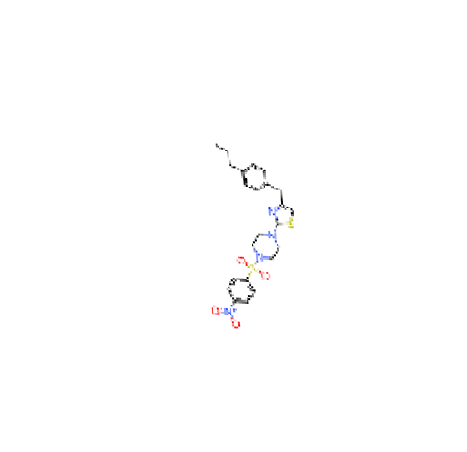 CCCc1ccc(Cc2csc(N3CCN(S(=O)(=O)c4ccc([N+](=O)[O-])cc4)CC3)n2)cc1